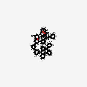 Cc1ccc2c(c1)c1cc(C)ccc1n2-c1c(-c2cccc(-c3cccc(-c4cccc(N5c6ccccc6B6c7ccccc7N(c7ccccc7)c7cccc5c76)c4)c3)c2)cccc1-c1nc(-c2ccccc2)nc(-c2ccccc2)n1